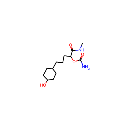 CNC(=O)C(CCCC1CCC(O)CC1)OC(N)=O